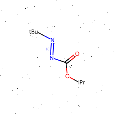 CC(C)OC(=O)/N=N/C(C)(C)C